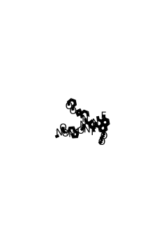 CCc1c(F)ccc2cc(OCOC)cc(-c3ncc4c(N5CCCC6(CC(OC7CCCCO7)C6)C5)nc(OC[C@@]56CCCN5[C@@H](OC(=O)N(C)CC)CC6)nc4c3F)c12